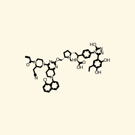 C=CC(=O)N1CCN(c2nc(OC[C@@H]3CC[C@H](CC(NC(=O)O)c4ccc(-n5c(O)nnc5-c5cc(CC)c(O)cc5O)cc4)N3C)nc3c2CCN(c2cccc4cccc(Cl)c24)C3)CC1CC#N